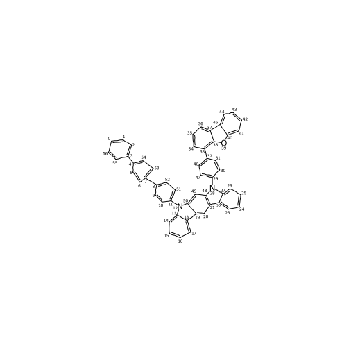 c1ccc(-c2ccc(-c3ccc(-n4c5ccccc5c5cc6c7ccccc7n(-c7ccc(-c8cccc9c8oc8ccccc89)cc7)c6cc54)cc3)cc2)cc1